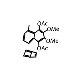 COc1c(OC)c(OC(C)=O)c2c(C)cccc2c1OC(C)=O.c1cc2ccc1-2